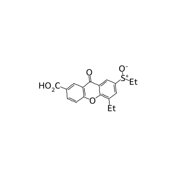 CCc1cc([S+]([O-])CC)cc2c(=O)c3cc(C(=O)O)ccc3oc12